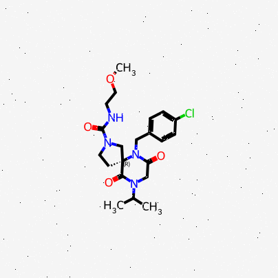 COCCNC(=O)N1CC[C@@]2(C1)C(=O)N(C(C)C)CC(=O)N2Cc1ccc(Cl)cc1